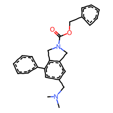 CN(C)Cc1cc2c(c(-c3ccccc3)c1)CN(C(=O)OCc1ccccc1)C2